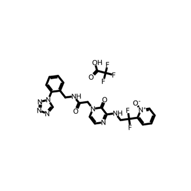 O=C(Cn1ccnc(NCC(F)(F)c2cccc[n+]2[O-])c1=O)NCc1ccccc1-n1cnnn1.O=C(O)C(F)(F)F